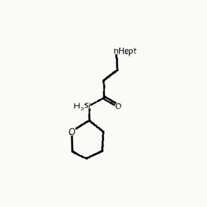 CCCCCCCCCC(=O)[SiH2]C1CCCCO1